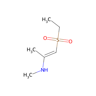 CCS(=O)(=O)/C=C(\C)NC